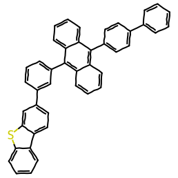 c1ccc(-c2ccc(-c3c4ccccc4c(-c4cccc(-c5ccc6c(c5)sc5ccccc56)c4)c4ccccc34)cc2)cc1